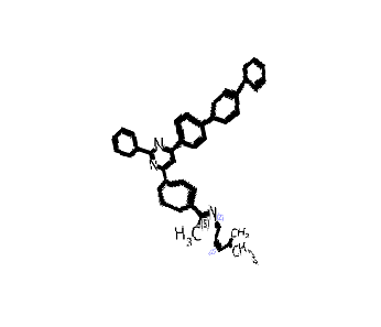 C=C(C)/C=C\C=N/[C@@H](C)C1=CC=C(c2cc(-c3ccc(C4C=CC(C5C=CC=CC5)=CC4)cc3)nc(C3C=CC=CC3)n2)CCC1